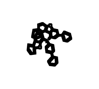 c1ccc(-c2ccc(N(c3cccc4c3oc3ccccc34)c3cc(-c4ccccc4)cc4oc5ccc6ccccc6c5c34)cc2)cc1